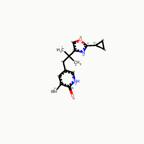 CC(C)(C)c1cc(CC(C)(C)c2coc(C3CC3)n2)c[nH]c1=O